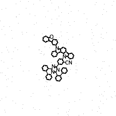 N#Cc1cc(-c2nc(-c3ccccc3-c3ccccc3)nc(-c3ccccc3-c3ccccc3)n2)ccc1-n1c2ccccc2c2ccc3c(c4ccccc4n3-c3ccc4oc5ccccc5c4c3)c21